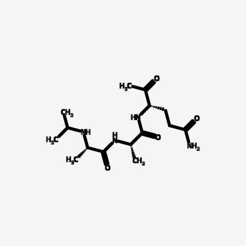 CC(=O)[C@H](CCC(N)=O)NC(=O)[C@H](C)NC(=O)[C@H](C)NC(C)C